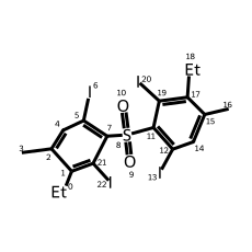 CCc1c(C)cc(I)c(S(=O)(=O)c2c(I)cc(C)c(CC)c2I)c1I